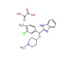 Cc1ccc(C(OC2CCN(C)CC2)c2nc3ccccc3[nH]2)cc1Cl.O=C(O)C(=O)O